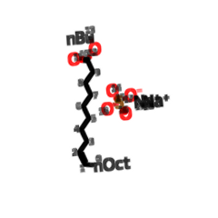 CCCCCCCC/C=C\CCCCCCCC(=O)OCCCC.O=S(=O)([O-])[O-].[Na+].[Na+]